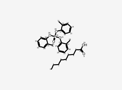 CCCCCCCCC(=O)O.Cc1ccccc1OP(=O)(Oc1ccccc1C)Oc1ccccc1C